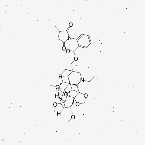 CCN1C[C@]2(COC(=O)c3ccccc3N3C(=O)CC(C)C3=O)CC[C@H](OC)[C@@]34C1C1(OCO[C@@]15C[C@H](OC)[C@H]1C[C@@H]3[C@@H]5[C@H]1OC)[C@@H](OC)[C@H]24